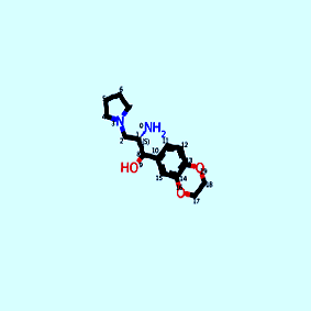 N[C@@H](CN1CCCC1)C(O)c1ccc2c(c1)OCCO2